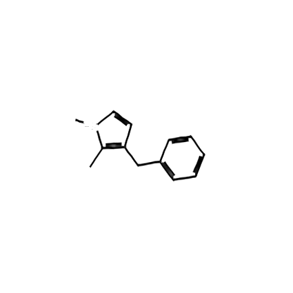 CC1=C(Cc2ccccc2)C=C[SiH]1C